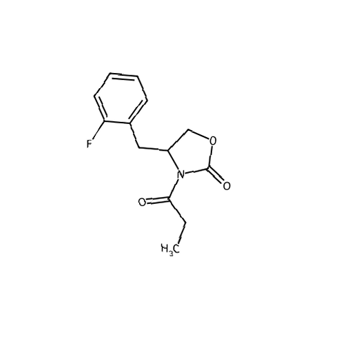 CCC(=O)N1C(=O)OCC1Cc1ccccc1F